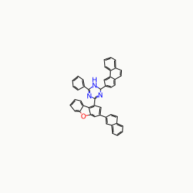 c1ccc(C2=NC(c3cc(-c4ccc5ccccc5c4)cc4oc5ccccc5c34)=NC(c3ccc4ccc5ccccc5c4c3)N2)cc1